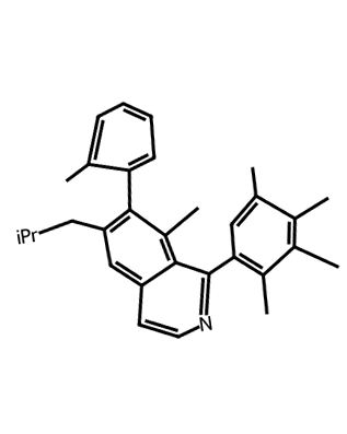 Cc1ccccc1-c1c(CC(C)C)cc2ccnc(-c3cc(C)c(C)c(C)c3C)c2c1C